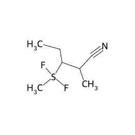 CCC(C(C)C#N)S(C)(F)F